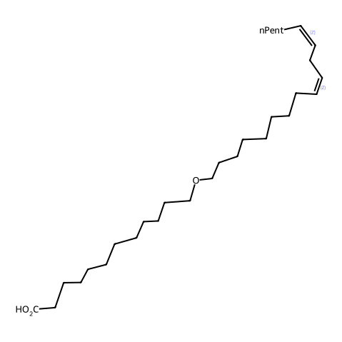 CCCCC/C=C\C/C=C\CCCCCCCCOCCCCCCCCCCCC(=O)O